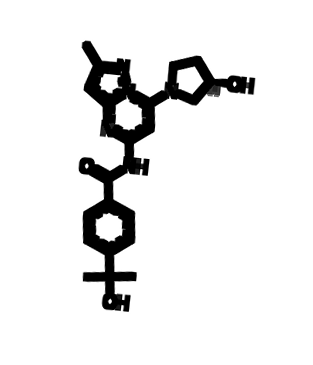 Cc1cc2nc(NC(=O)c3ccc(C(C)(C)O)cc3)cc(N3CC[C@@H](O)C3)n2n1